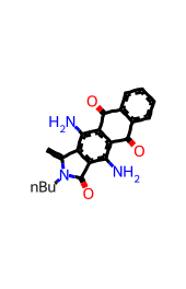 C=C1c2c(N)c3c(c(N)c2C(=O)N1CCCC)C(=O)c1ccccc1C3=O